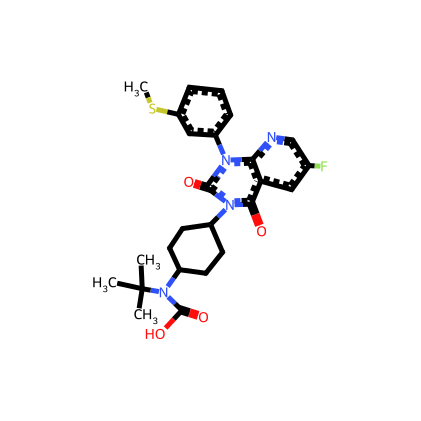 CSc1cccc(-n2c(=O)n(C3CCC(N(C(=O)O)C(C)(C)C)CC3)c(=O)c3cc(F)cnc32)c1